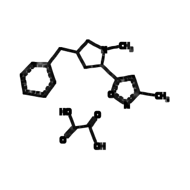 Cc1cc(C2CC(Cc3ccccc3)CN2C)on1.O=C(O)C(=O)O